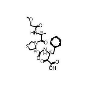 COCC(=O)N[C@@H](C)C(=O)N1CSC[C@H]1C(=O)N[C@@H](Cc1ccccc1)C(=O)C(=O)O